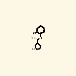 CC[C@H](Oc1ccccc1F)C1CCNC1